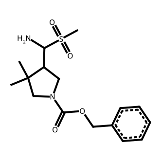 CC1(C)CN(C(=O)OCc2ccccc2)CC1C(N)S(C)(=O)=O